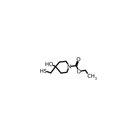 CCOC(=O)N1CCC(O)(CS)CC1